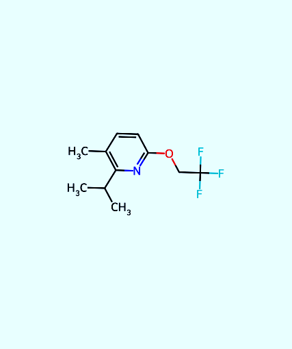 Cc1ccc(OCC(F)(F)F)nc1C(C)C